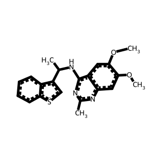 COc1cc2nc(C)nc(NC(C)c3csc4ccccc34)c2cc1OC